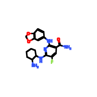 NC(=O)c1cc(F)c(NC2CCCCC2N)nc1Nc1ccc2c(c1)OCO2